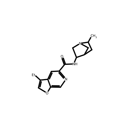 CCc1coc2cnc(C(=O)NC3CN4CC3CC4C)cc12